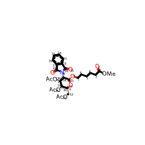 COC(=O)CCCCCO[C@H]1O[C@H](COC(C)=O)[C@@H](OC(C)=O)[C@H](OC(C)=O)[C@@H]1N1C(=O)c2ccccc2C1=O